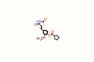 COc1cc(/C=C2\SC(=O)NC2=O)ccc1OC(=O)C1CCCC1